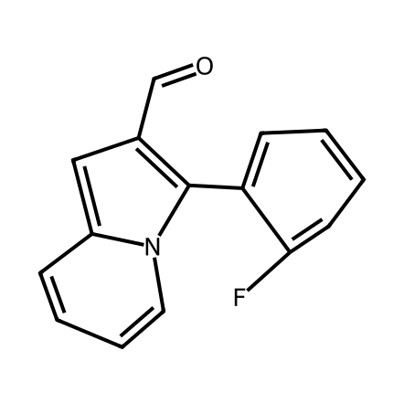 O=Cc1cc2ccccn2c1-c1ccccc1F